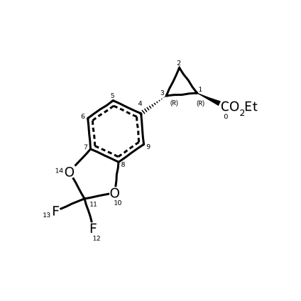 CCOC(=O)[C@@H]1C[C@H]1c1ccc2c(c1)OC(F)(F)O2